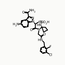 CC(C)(C)C(C(=O)N(CC(=O)NCc1cccc(Cl)c1F)C1(NC(=O)O)CCC1)n1nc(C(N)=O)c2cc(N)ccc21